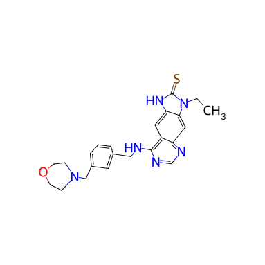 CCn1c(=S)[nH]c2cc3c(NCc4cccc(CN5CCOCC5)c4)ncnc3cc21